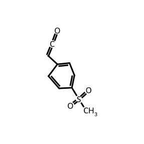 CS(=O)(=O)c1ccc(C=C=O)cc1